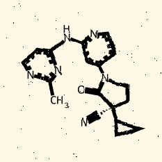 Cc1nccc(Nc2cc(N3CC[C@@](C#N)(C4CC4)C3=O)ccn2)n1